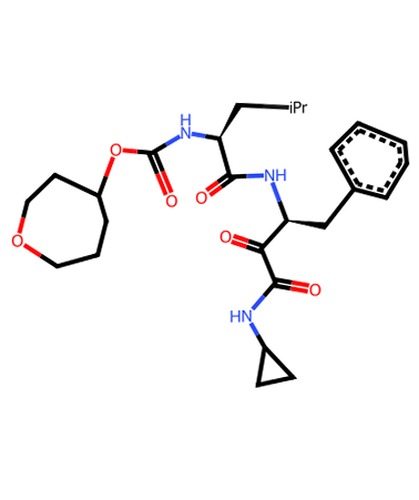 CC(C)C[C@H](NC(=O)OC1CCCOCC1)C(=O)N[C@@H](Cc1ccccc1)C(=O)C(=O)NC1CC1